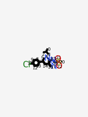 CC(C)CN1CC(c2ccc(Cl)cc2)=Cc2cnc(S(C)(=O)=O)nc21